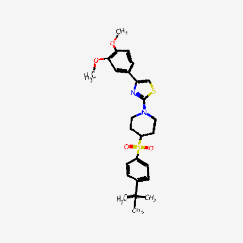 COc1ccc(-c2csc(N3CCC(S(=O)(=O)c4ccc(C(C)(C)C)cc4)CC3)n2)cc1OC